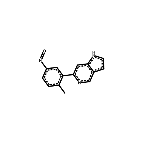 Cc1ccc(N=O)cc1-c1cc2[nH]ccc2cn1